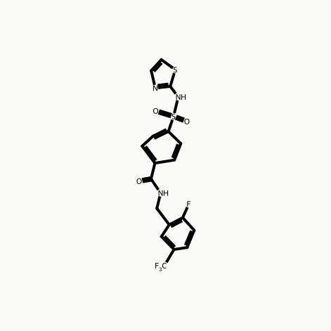 O=C(NCc1cc(C(F)(F)F)ccc1F)c1ccc(S(=O)(=O)Nc2nccs2)cc1